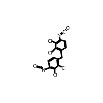 O=C=Nc1ccc(Cc2ccc(N=C=O)c(Cl)c2Cl)c(Cl)c1Cl